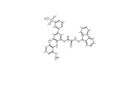 CS(=O)(=O)c1cncc(-c2cc(Cl)c(Sc3ncccc3CO)c(CNC(=O)OCC3c4ccccc4-c4ccccc43)c2)c1